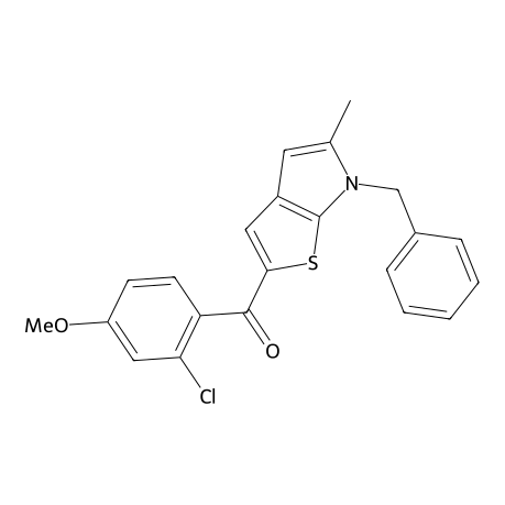 COc1ccc(C(=O)c2cc3cc(C)n(Cc4ccccc4)c3s2)c(Cl)c1